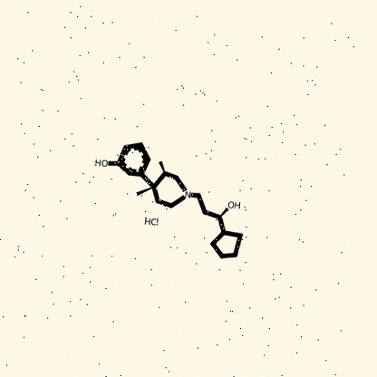 C[C@H]1CN(CC[C@@H](O)C2CCCC2)CC[C@]1(C)c1cccc(O)c1.Cl